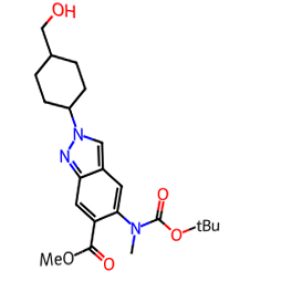 COC(=O)c1cc2nn(C3CCC(CO)CC3)cc2cc1N(C)C(=O)OC(C)(C)C